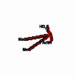 COCCOCCOCCOCCOCCOCCOCCOCCOCCOCCOCCOCCCC1(CCCOCCOCCOCCOCCOCCOCCOCCOCCOCCOCCOCCOC)c2cc(-c3ccc(OCCCCNC(C)=O)cc3)ccc2-c2ccc(-c3ccc(OCCOCCC(=O)O)cc3)cc21